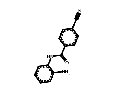 N#Cc1ccc(C(=O)Nc2ccccc2N)cc1